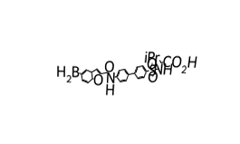 BC1=CC2C=C(C(=O)Nc3ccc(-c4ccc(S(=O)(=O)N[C@H](C(=O)O)C(C)C)cc4)cc3)OC2C=C1